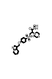 O=C(NO)C(CNS(=O)(=O)c1ccc(OCc2cnn3ccccc23)cc1)N1CCSCC1